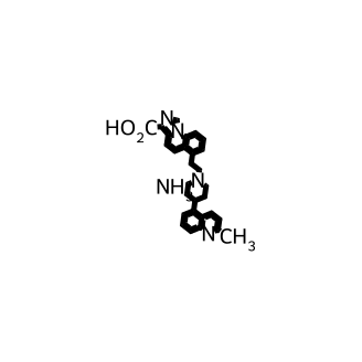 Cc1ccc2c(C3CCN(CCc4cccc5c4ccc4c(C(=O)O)ncn45)CC3)cccc2n1.N